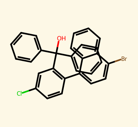 OC(c1ccccc1)(c1ccccc1)c1cc(Cl)ccc1-c1ccc(Br)c2ccccc12